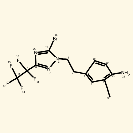 Cc1cc(CCn2nc(C(F)(F)C(F)(F)F)nc2Br)ccc1N